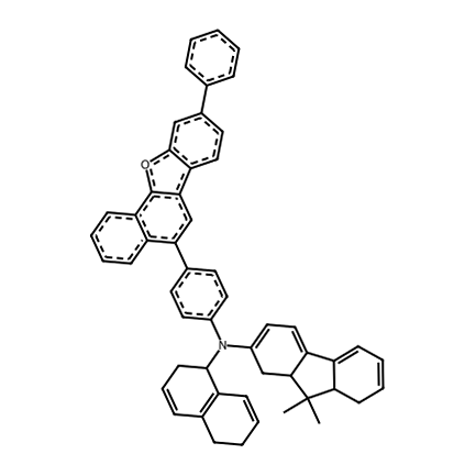 CC1(C)C2CC=CC=C2C2=CC=C(N(c3ccc(-c4cc5c6ccc(-c7ccccc7)cc6oc5c5ccccc45)cc3)C3CC=CC4=C3C=CCC4)CC21